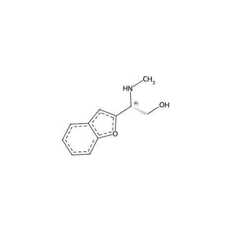 CN[C@H](CO)c1cc2ccccc2o1